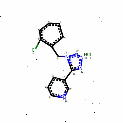 Cl.Clc1ccccc1Cn1nnnc1-c1cccnc1